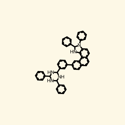 c1ccc(C2NC(c3ccccc3)NC(c3cccc(-c4ccc5ccc6ccc7c(c6c5c4)NC(c4ccccc4)N7c4ccccc4)c3)N2)cc1